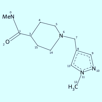 CNC(=O)C1CCN(Cc2cnn(C)c2)CC1